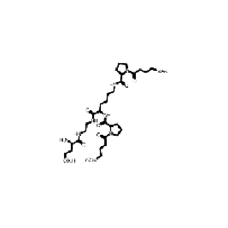 CCCCCCCCCCCCCC(=O)N1CCCC1C(=O)NCCCCC(NC(=O)C1CCCN1C(=O)CCCCCCCCCCCCC)C(=O)NCCNC(=O)C(N)CCC(=O)O